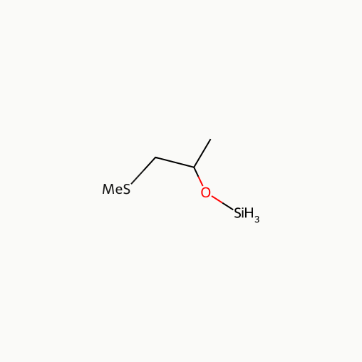 CSCC(C)O[SiH3]